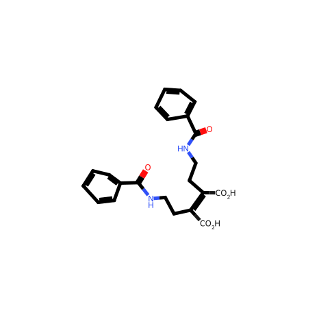 O=C(O)C(CCNC(=O)c1ccccc1)=C(CCNC(=O)c1ccccc1)C(=O)O